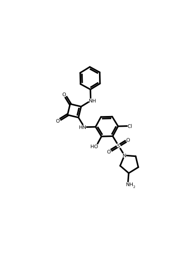 NC1CCN(S(=O)(=O)c2c(Cl)ccc(Nc3c(Nc4ccccc4)c(=O)c3=O)c2O)C1